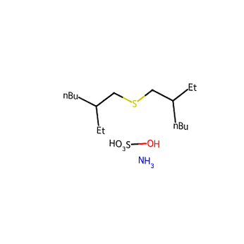 CCCCC(CC)CSCC(CC)CCCC.N.O=S(=O)(O)O